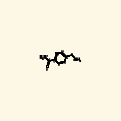 NCc1ccc(C(N)=O)nc1